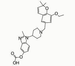 CCOc1cc(CN2CCC(n3c(C)nc4cc(OC(=O)O)ccc43)CC2)cc2c1OC(C)(C)C=C2